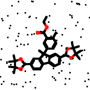 CCOC(=O)c1cc(C2(C)c3cc(B4OC(C)(C)C(C)(C)O4)ccc3-c3ccc(B4OC(C)(C)C(C)(C)O4)cc32)ccc1C